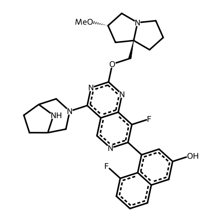 CO[C@@H]1CN2CCC[C@]2(COc2nc(N3CC4CCC(C3)N4)c3cnc(-c4cc(O)cc5cccc(F)c45)c(F)c3n2)C1